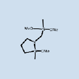 CO[Si](C)(CN1CCC[Si]1(C)OC)OC